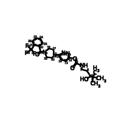 CC(C)(C)C(O)CCNC(=O)Oc1ccc(N2CCN(C(=O)c3ccccc3C(F)(F)F)CC2)nn1